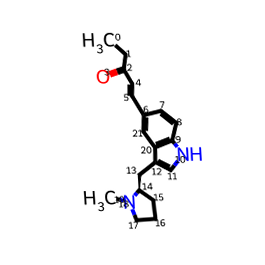 CCC(=O)/C=C/c1ccc2[nH]cc(C[C@H]3CCCN3C)c2c1